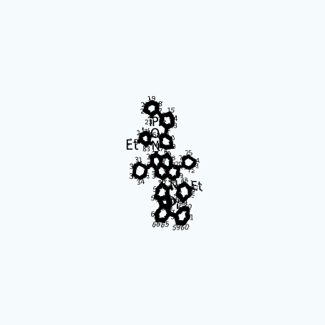 CCc1cccc(N(c2cccc(-c3cccc(-c4ccccc4C(C)C)c3)c2O)c2cc(C3CCCCC3)c3ccc4c(N(c5cccc(CC)c5)c5cccc6c5oc5c(-c7ccccc7C(C)C)cccc56)cc(C5CCCCC5)c5ccc2c3c54)c1